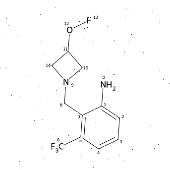 Nc1cccc(C(F)(F)F)c1CN1CC(OF)C1